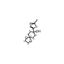 OC1(c2cnc(I)s2)CCC2(CC1)OCCO2